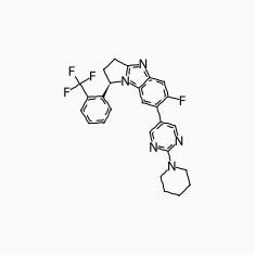 Fc1cc2nc3n(c2cc1-c1cnc(N2CCCCC2)nc1)[C@@H](c1ccccc1C(F)(F)F)CC3